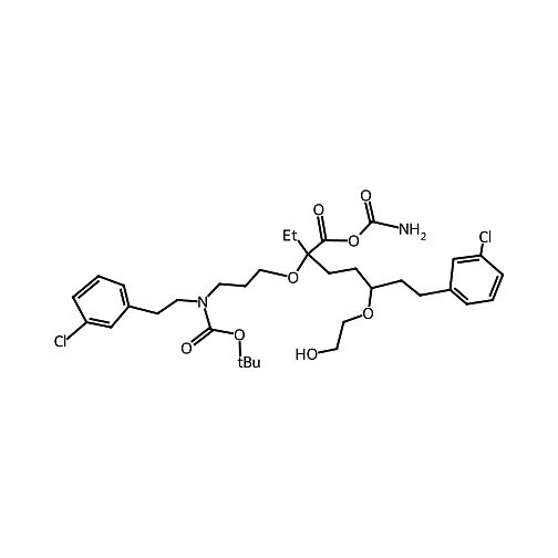 CCC(CCC(CCc1cccc(Cl)c1)OCCO)(OCCCN(CCc1cccc(Cl)c1)C(=O)OC(C)(C)C)C(=O)OC(N)=O